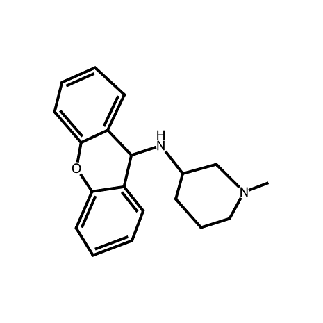 CN1CCCC(NC2c3ccccc3Oc3ccccc32)C1